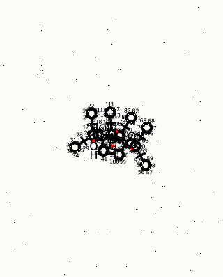 CC(C)(c1ccccc1)c1cc(C(c2cc(C(C)(C)c3ccccc3)cc(C(C)(C)c3ccccc3)c2O)c2cccc3c2sc2c(C(c4cc(C(C)(C)c5ccccc5)cc(C(C)(C)c5ccccc5)c4O)c4cc(C(C)(C)c5ccccc5)cc(C(C)(C)c5ccccc5)c4O)cccc23)c(O)c(C(C)(C)c2ccccc2)c1